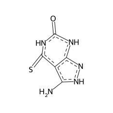 Nc1[nH]nc2[nH]c(=O)[nH]c(=S)c12